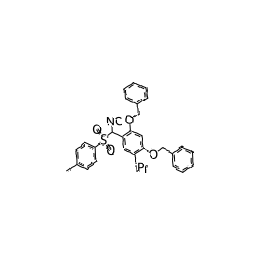 [C-]#[N+]C(c1cc(C(C)C)c(OCc2ccccc2)cc1OCc1ccccc1)S(=O)(=O)c1ccc(C)cc1